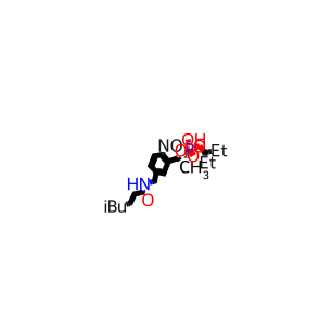 CCC(C)CCC(=O)NCc1ccc([N+](=O)[O-])c(C(C)OP(=O)(O)OC(CC)CC)c1